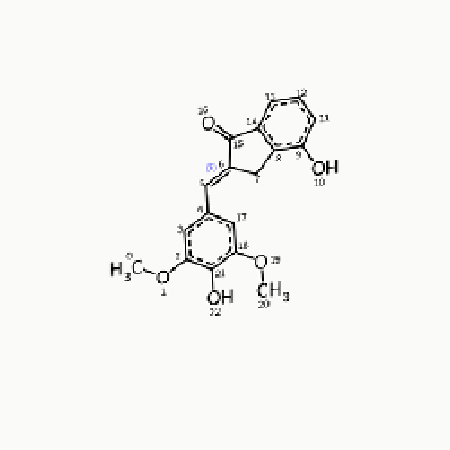 COc1cc(/C=C2\Cc3c(O)cccc3C2=O)cc(OC)c1O